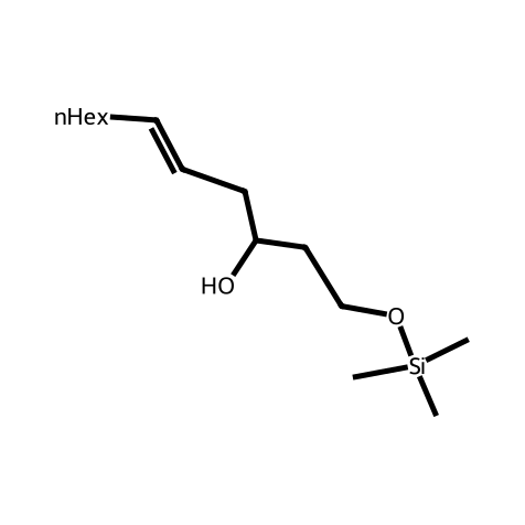 CCCCCCC=CCC(O)CCO[Si](C)(C)C